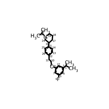 CC(C)c1cc(F)cc(OCCc2ccc(C3CCCN(C(C)C)C3)cc2)c1